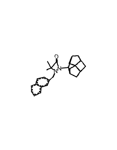 CC1(C)C(=O)N(C2C3CC4CC5CC2CC45C3)N1Cc1ccc2ccccc2c1